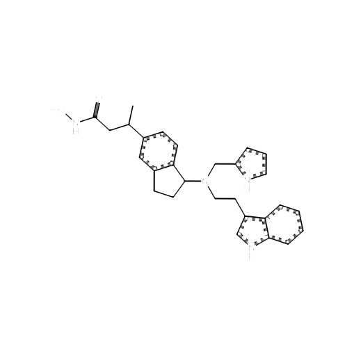 CC(CC(=O)NO)c1ccc2c(c1)CCC2N(CCc1c[nH]c2ccccc12)Cc1ccc[nH]1